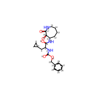 O=C(NC(CC1CC1)C(=O)NC1CCCCNC(=O)C1=O)OCc1ccccc1